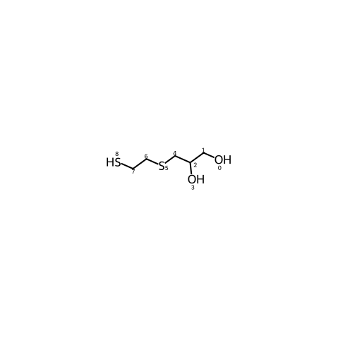 OCC(O)CSCCS